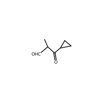 CC(C=O)C(=O)C1CC1